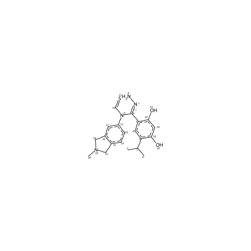 CC(C)c1cc(/C(=N/N)N(C=S)c2ccc3c(c2)CN(C)C3)c(O)cc1O